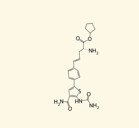 NC(=O)Nc1sc(-c2ccc(C=CC[C@@H](N)C(=O)OC3CCCC3)cc2)cc1C(N)=O